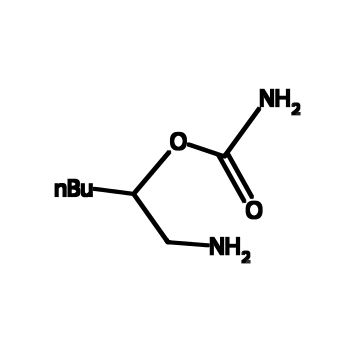 CCCCC(CN)OC(N)=O